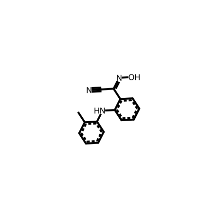 Cc1ccccc1Nc1ccccc1/C(C#N)=N\O